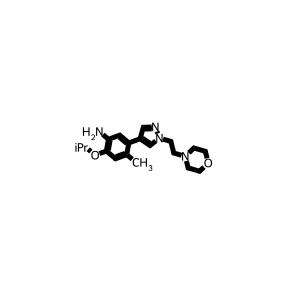 Cc1cc(OC(C)C)c(N)cc1-c1cnn(CCN2CCOCC2)c1